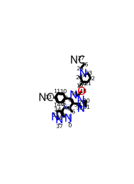 C=Nc1c(/C=C(\C)c2c(-c3ccc(C#N)cc3)nc(OC[C@@H]3CCCN(CCC#N)C3)n3ccnc23)cnn1C